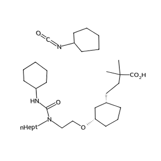 CCCCCCCN(CCO[C@H]1CCC[C@@H](CCC(C)(C)C(=O)O)C1)C(=O)NC1CCCCC1.O=C=NC1CCCCC1